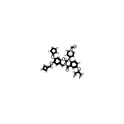 O=CN1CCC(n2c(=O)n(Cc3ccc(OC4CCCC4)c(OCC4CCC4)c3)c(=O)c3cc(OC(CF)CF)ccc32)CC1